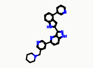 c1cncc(-c2cccc3[nH]c(-c4n[nH]c5ccc(-c6cncc(CN7CCCCC7)c6)nc45)cc23)c1